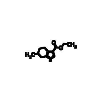 CCOC(=O)c1csc2c1CCC(C)C2